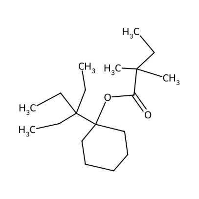 CCC(C)(C)C(=O)OC1(C(CC)(CC)CC)CCCCC1